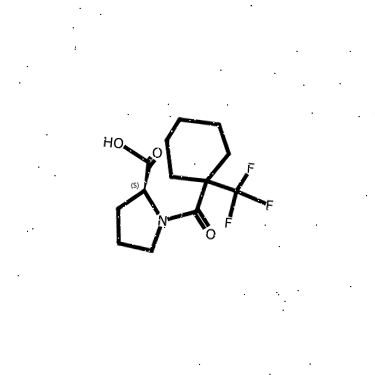 O=C(O)[C@@H]1CCCN1C(=O)C1(C(F)(F)F)CCCCC1